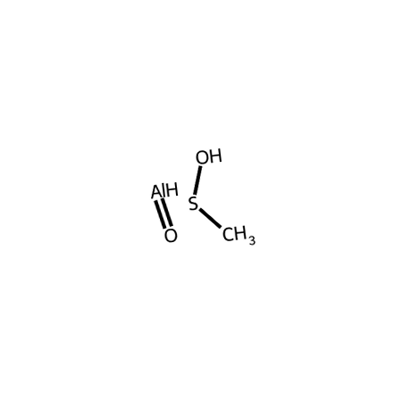 CSO.[O]=[AlH]